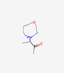 CC(=O)C(C)N1CCOCC1